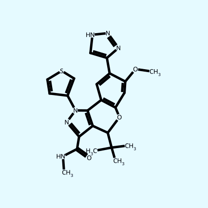 CNC(=O)c1nn(-c2ccsc2)c2c1C(C(C)(C)C)Oc1cc(OC)c(-c3c[nH]nn3)cc1-2